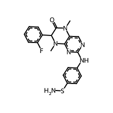 CN1C(=O)C(c2ccccc2F)N(C)c2nc(Nc3ccc(SN)cc3)ncc21